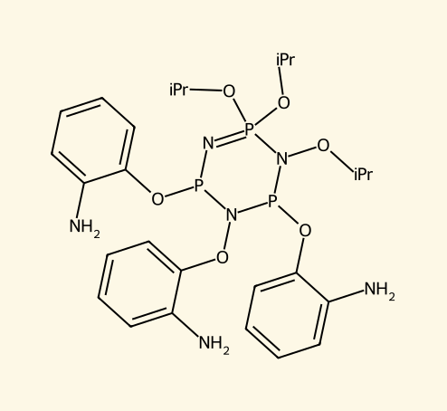 CC(C)ON1P(Oc2ccccc2N)N(Oc2ccccc2N)P(Oc2ccccc2N)N=P1(OC(C)C)OC(C)C